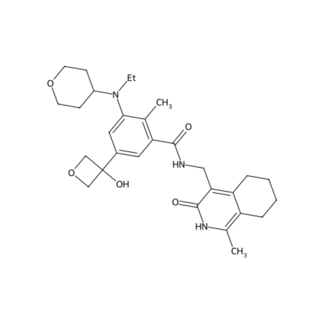 CCN(c1cc(C2(O)COC2)cc(C(=O)NCc2c3c(c(C)[nH]c2=O)CCCC3)c1C)C1CCOCC1